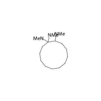 CNC1CCCCCCCCCCC1(NC)NC